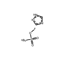 CCCCS(=O)(=O)OF.c1nc[nH]n1